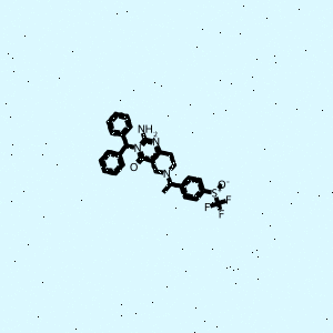 CC(c1ccc([S+]([O-])C(F)(F)F)cc1)N1CCc2nc(N)n(C(c3ccccc3)c3ccccc3)c(=O)c2C1